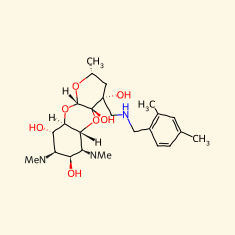 CN[C@@H]1[C@H](O)[C@H](NC)[C@H]2O[C@]3(O)[C@H](O[C@@H]2[C@H]1O)O[C@H](C)C[C@@]3(O)CNCc1ccc(C)cc1C